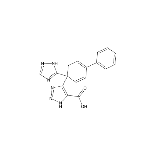 O=C(O)c1[nH]nnc1C1(c2ncn[nH]2)C=CC(c2ccccc2)=CC1